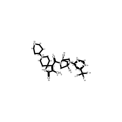 CC1=C(C(=O)N2C[C@@H]3C[C@H]2CN3c2cc(C(F)(F)F)ncn2)C2(CCN(C3CCOCC3)CC2)OC1=O